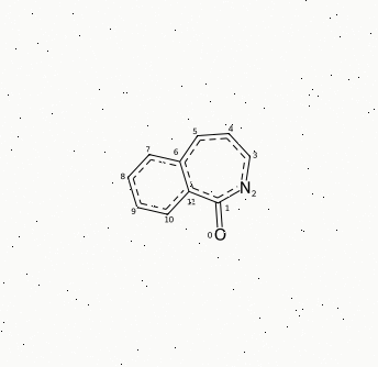 O=c1ncccc2ccccc12